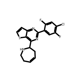 Fc1cc(-c2nc(C3CC=CCCN3)c3sccc3n2)c(F)cc1Cl